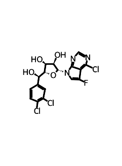 O[C@@H]1[C@H](O)[C@@H]([C@H](O)c2ccc(Cl)c(Cl)c2)O[C@H]1n1cc(F)c2c(Cl)ncnc21